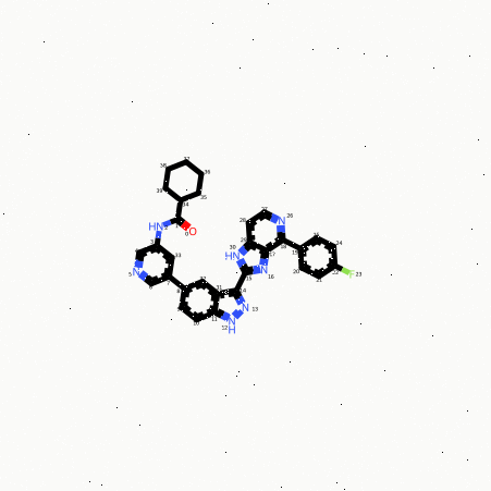 O=C(Nc1cncc(-c2ccc3[nH]nc(-c4nc5c(-c6ccc(F)cc6)nccc5[nH]4)c3c2)c1)C1CCCCC1